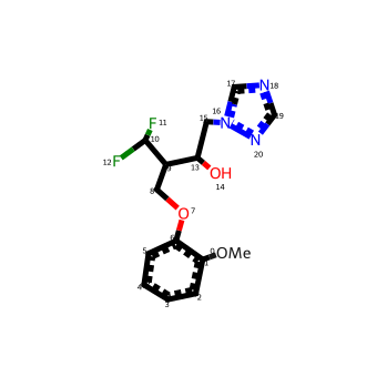 COc1ccccc1OCC(C(F)F)C(O)Cn1cncn1